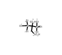 CC[Si](CC)(CC)C(CS(=O)(=O)O)([Si](CC)(CC)CC)S(=O)(=O)O